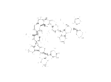 Cc1cc(-n2c3ccccc3c3cc(N(c4ccccc4)c4ccccc4)ccc32)cc(C)c1-c1ccc2ccc3ccc(-c4c(C)cc(-n5c6ccccc6c6cc(N(c7ccccc7)c7ccccc7)ccc65)cc4C)nc3c2n1